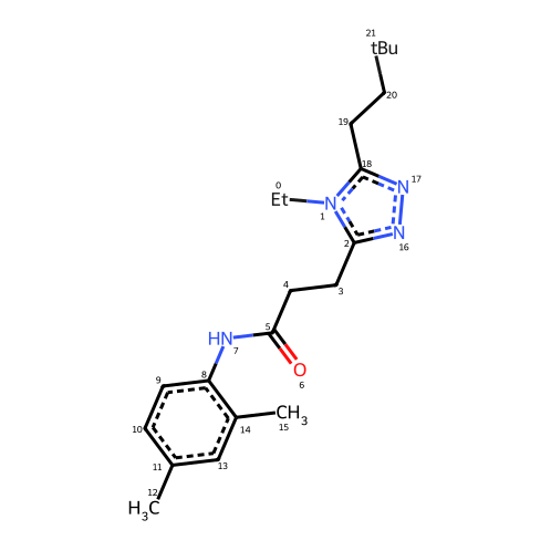 CCn1c(CCC(=O)Nc2ccc(C)cc2C)nnc1CCC(C)(C)C